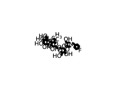 CC(C)C1OC(COC2OC(CO)C(O)C(OC3CN(Cc4ccc(F)cc4)CC(CO)O3)C2O)C(O)C(OC2OC(CO)C(O)C(O)C2O)C1O